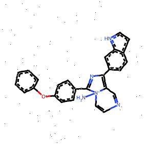 N[N+]12C=CN=CC1=C(c1ccc3cc[nH]c3c1)N=C2c1ccc(Oc2ccccc2)cc1